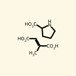 C/C(=C\C(=O)O)C(=O)O.O=C(O)C1CCCN1